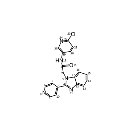 O=C(Cn1c(-c2ccncc2)nc2ccccc21)Nc1ccc(Cl)nc1